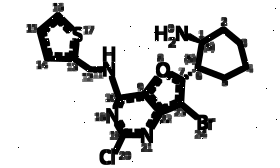 N[C@H]1CCCC[C@@H]1c1oc2c(NCc3cccs3)nc(Cl)nc2c1Br